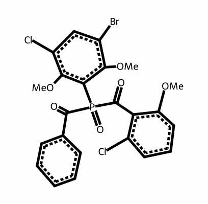 COc1cccc(Cl)c1C(=O)P(=O)(C(=O)c1ccccc1)c1c(OC)c(Cl)cc(Br)c1OC